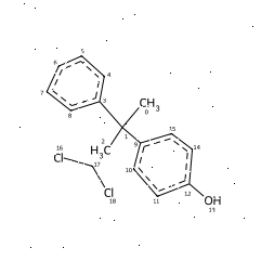 CC(C)(c1ccccc1)c1ccc(O)cc1.ClCCl